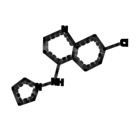 Clc1ccc2c(Nn3cccc3)ccnc2c1